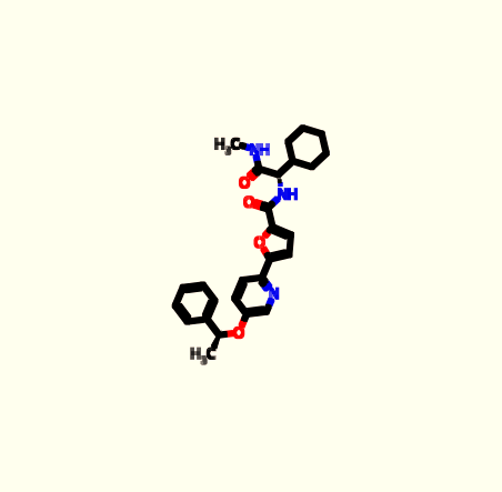 CNC(=O)[C@@H](NC(=O)c1ccc(-c2ccc(O[C@@H](C)c3ccccc3)cn2)o1)C1CCCCC1